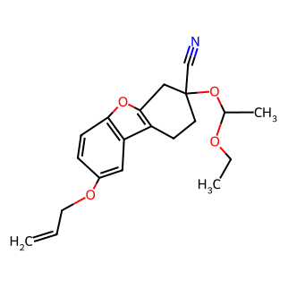 C=CCOc1ccc2oc3c(c2c1)CCC(C#N)(OC(C)OCC)C3